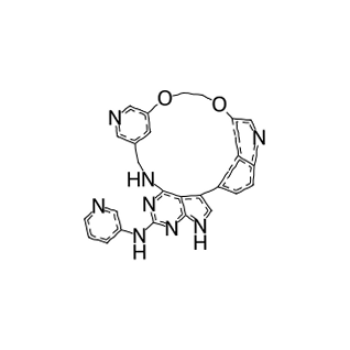 c1cncc(Nc2nc3c4c(c[nH]c4n2)-c2ccc4ncc(cc4c2)OCCOc2cncc(c2)CN3)c1